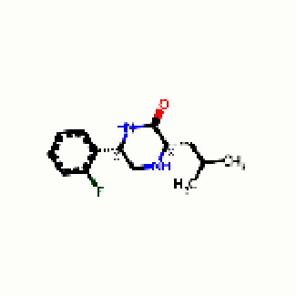 CC(C)C[C@@H]1NC[C@H](c2ccccc2F)NC1=O